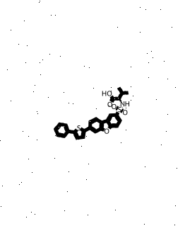 CC(C)[C@@H](NS(=O)(=O)c1ccc2oc3cc(-c4ccc(-c5ccccc5)s4)ccc3c2c1)C(=O)O